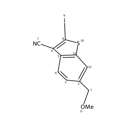 COCc1ccc2c(C#N)c(I)sc2c1